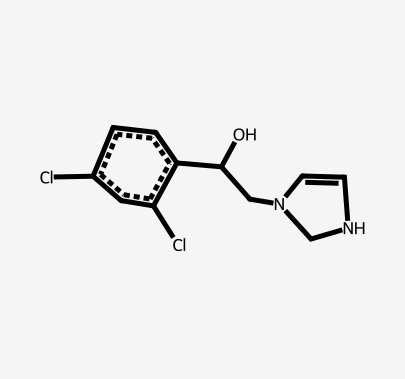 OC(CN1C=CNC1)c1ccc(Cl)cc1Cl